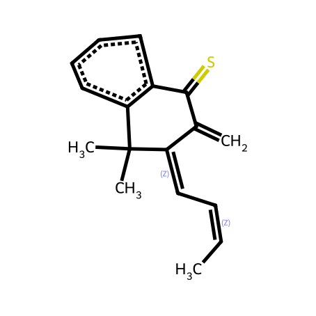 C=C1C(=S)c2ccccc2C(C)(C)/C1=C/C=C\C